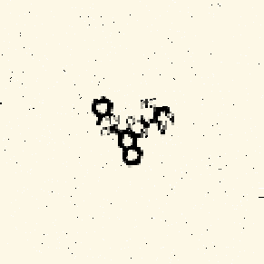 Cc1ccccc1NC(=O)c1cc2ccccc2c(/N=N/c2c(C#N)cnn2C)c1O